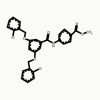 COC(=O)c1ccc(NC(=O)c2cc(OCc3ccccc3Cl)cc(OCc3ccccc3Cl)c2)cc1